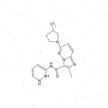 Cc1nc2ccc(N3CCC(C(F)(F)F)C3)nn2c1C(=O)NC1=CC=CNN1